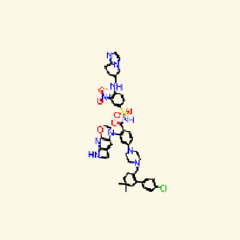 CC1(C)CCC(CN2CCN(c3ccc(C(=O)NS(=O)(=O)c4ccc(NCC5CCc6nccn6C5)c([N+](=O)[O-])c4)c(N4CCOc5nc6[nH]ccc6cc54)c3)CC2)=C(c2ccc(Cl)cc2)C1